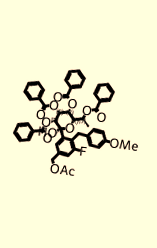 COc1ccc(Cc2c(F)cc(COC(C)=O)cc2[C@@]2(O)O[C@H]([C@H](C)OC(=O)c3ccccc3)[C@@H](OC(=O)c3ccccc3)[C@H](OC(=O)c3ccccc3)[C@H]2OC(=O)c2ccccc2)cc1